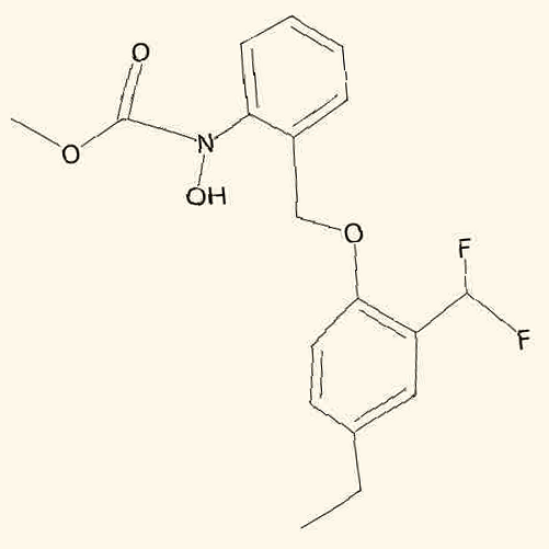 CCc1ccc(OCc2ccccc2N(O)C(=O)OC)c(C(F)F)c1